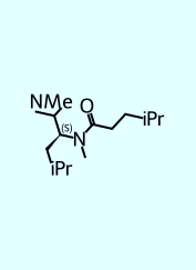 CNC(C)[C@H](CC(C)C)N(C)C(=O)CCC(C)C